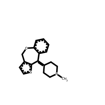 CN1CCC(=C2c3ccccc3OCc3ccsc32)CC1